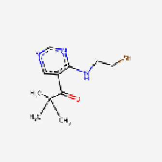 CC(C)(C)C(=O)c1cncnc1NCCS